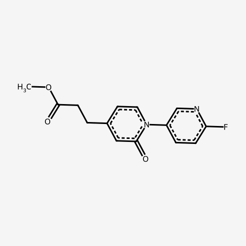 COC(=O)CCc1ccn(-c2ccc(F)nc2)c(=O)c1